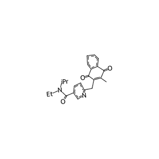 CCN(C(=O)c1ccc(CC2=C(C)C(=O)c3ccccc3C2=O)nc1)C(C)C